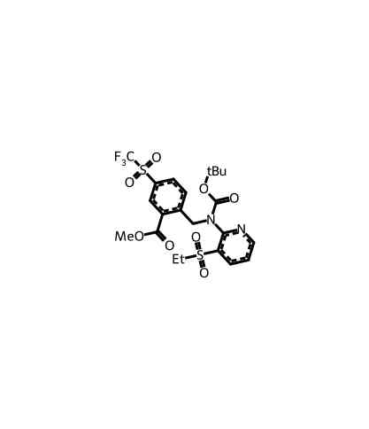 CCS(=O)(=O)c1cccnc1N(Cc1ccc(S(=O)(=O)C(F)(F)F)cc1C(=O)OC)C(=O)OC(C)(C)C